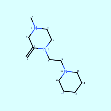 C=C1CN(C)CCN1CCN1CCCCC1